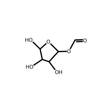 O=COC1OC(O)C(O)C1O